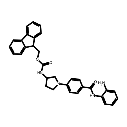 Nc1ccccc1NC(=O)c1ccc(N2CCC(NC(=O)OCC3c4ccccc4-c4ccccc43)C2)cc1